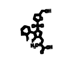 CN(Cc1cn(S(=O)(=O)c2ccc(CO)o2)c(-c2cccnc2F)c1F)C(=O)O